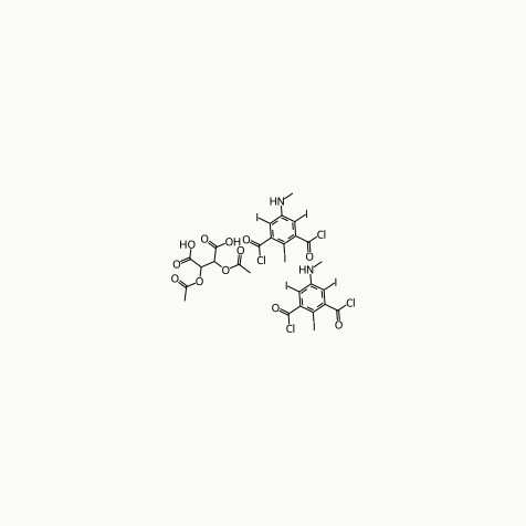 CC(=O)OC(C(=O)O)C(OC(C)=O)C(=O)O.CNc1c(I)c(C(=O)Cl)c(I)c(C(=O)Cl)c1I.CNc1c(I)c(C(=O)Cl)c(I)c(C(=O)Cl)c1I